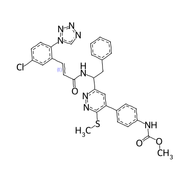 COC(=O)Nc1ccc(-c2cc(C(Cc3ccccc3)NC(=O)/C=C/c3cc(Cl)ccc3-n3cnnn3)nnc2SC)cc1